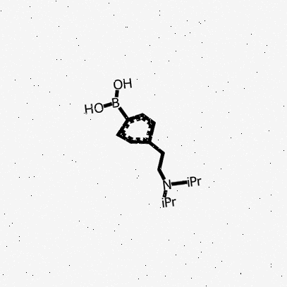 CC(C)N(CCc1ccc(B(O)O)cc1)C(C)C